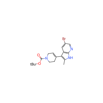 Cc1[nH]c2ncc(Br)cc2c1C1=CCN(C(=O)OC(C)(C)C)CC1